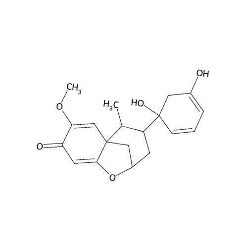 COC1=CC23CC(CC(C4(O)C=CC=C(O)C4)C2C)OC3=CC1=O